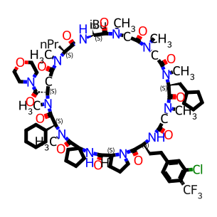 CCC[C@H]1C(=O)N[C@@H]([C@@H](C)CC)C(=O)N(C)CC(=O)N(C)CC(=O)N(C)[C@@H](CC2CCCC2)C(=O)N(C)CC(=O)N[C@@H](CCc2ccc(C(F)(F)F)c(Cl)c2)C(=O)N2CCC[C@H]2C(=O)NC2(CCCC2)C(=O)N(C)[C@@H](C2CCCCC2)C(=O)N(C)[C@H](C(=O)N2CCOCC2)CC(=O)N1C